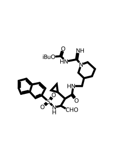 CC(C)COC(=O)NC(=N)N1CCCC(CNC(=O)C(C2CC2)C(C=O)NS(=O)(=O)c2ccc3ccccc3c2)C1